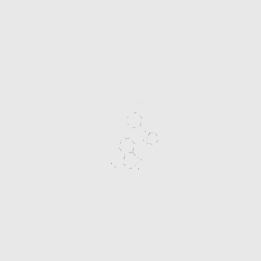 CC1COB(O)c2cc(-c3ccc4c(N)cnnc4c3)c(-n3cccn3)cc2O1